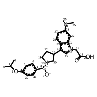 CC(C)Oc1ccc([S+]([O-])N2CCC(c3cn(CC(=O)O)c4cc(N(C)C)ccc34)C2)cc1